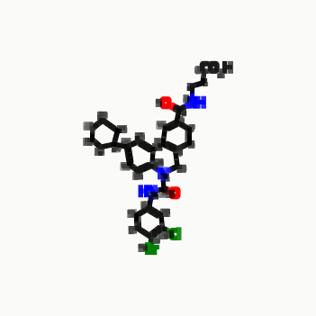 O=C(O)CCNC(=O)c1ccc(CN(C(=O)Nc2ccc(Br)c(Cl)c2)c2ccc(C3CCCCC3)cc2)cc1